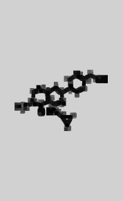 Cn1cnc2cc(-c3ccc(CO)nc3)nc(NC3CC3)c2c1=O